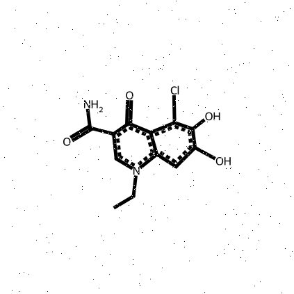 CCn1cc(C(N)=O)c(=O)c2c(Cl)c(O)c(O)cc21